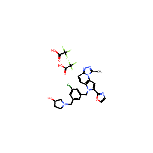 Cc1nnc2ccc3c(cc(-c4ncco4)n3Cc3cc(Cl)cc(CN4CCC(O)C4)c3)n12.O=C(O)C(F)(F)F.O=C(O)C(F)(F)F